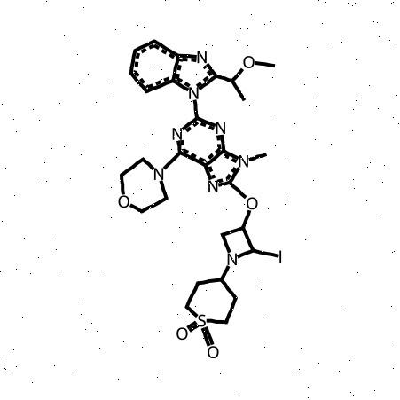 COC(C)c1nc2ccccc2n1-c1nc(N2CCOCC2)c2nc(OC3CN(C4CCS(=O)(=O)CC4)C3I)n(C)c2n1